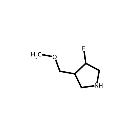 COCC1CNCC1F